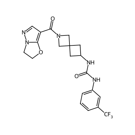 O=C(Nc1cccc(C(F)(F)F)c1)NC1CC2(C1)CN(C(=O)c1cnn3c1OCC3)C2